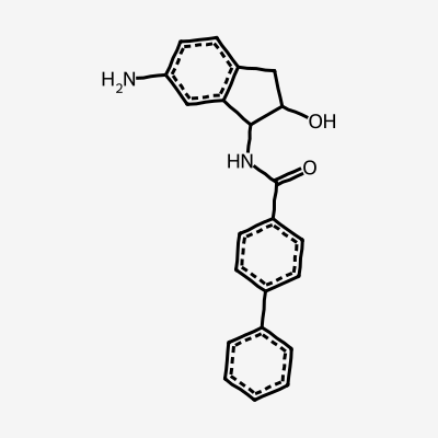 Nc1ccc2c(c1)C(NC(=O)c1ccc(-c3ccccc3)cc1)C(O)C2